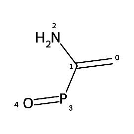 C=C(N)P=O